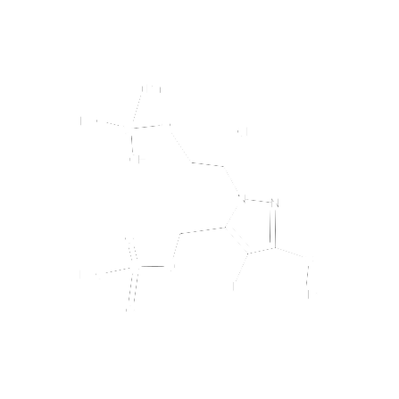 CC(C)Oc1nn([C@@H](C)CO[Si](C)(C)C(C)(C)C)c(COS(C)(=O)=O)c1I